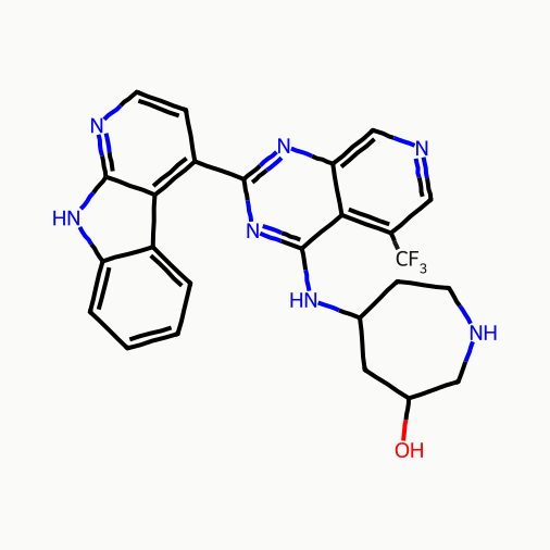 OC1CNCCC(Nc2nc(-c3ccnc4[nH]c5ccccc5c34)nc3cncc(C(F)(F)F)c23)C1